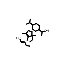 CC(C)C1CCC(C(C)O)CC1.CCC1(C)CCC(C)=C1C.CCC=CO